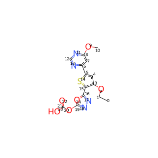 CCOc1cc(-c2cc(OC)ncn2)sc1-c1nnc(OC(=O)O)o1